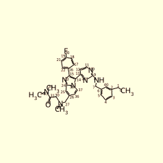 CCc1cccc(CNc2nccc(-c3c(-c4ccc(F)cc4)nc4cc(CN(C)CC(=O)N(C)C)ccn34)n2)c1